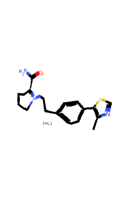 Cc1ncsc1-c1ccc(CCN2CCC[C@H]2C(N)=O)cc1.Cl